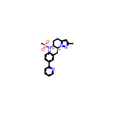 Cc1cc2n(n1)[C@@H](Cc1cccc(-c3ccccn3)c1)[C@@H](NS(C)(=O)=O)CC2